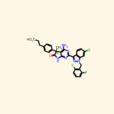 C[C@]1(c2ccc(CCC(=O)O)cc2)C(=O)Nc2nc(-c3nn(Cc4c(F)cccc4F)c4cc(Cl)ccc34)nc(N)c21